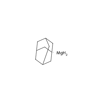 C1[C]2CC3CC1CC(C2)C3.[MgH2]